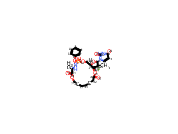 C[C@@H]1NP(=O)(Oc2ccccc2)OC[C@H]2O[C@@H](n3ccc(=O)[nH]c3=O)[C@](C)(F)[C@@H]2OC(=O)CCCCCCOC1=O